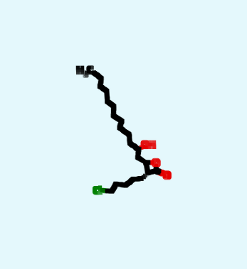 CCCCCCCCCCC[C@H](O)C[C@H]1OC(=O)[C@@H]1CCCCCCl